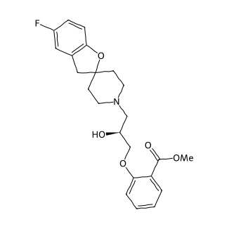 COC(=O)c1ccccc1OC[C@@H](O)CN1CCC2(CC1)Cc1cc(F)ccc1O2